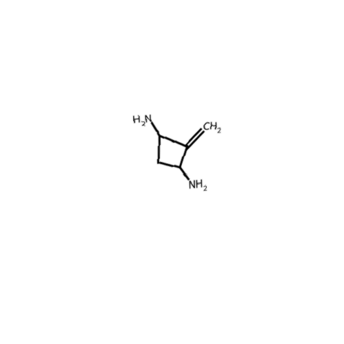 C=C1C(N)CC1N